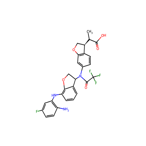 CC(C(=O)O)[C@@H]1COc2cc(N(C(=O)C(F)(F)F)C3COc4c(Nc5cc(F)ccc5N)cccc43)ccc21